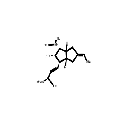 CCCCC=C1C[C@H]2C[C@@H](O)[C@H](C=C[C@@H](O)CCCCC)[C@H]2C1.CCCCNCCCC